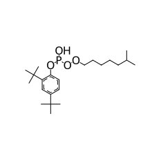 CC(C)CCCCCOOP(O)Oc1ccc(C(C)(C)C)cc1C(C)(C)C